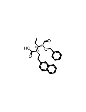 CC[C@H]([C@@H](CCc1ccc2ccccc2c1)C(=O)O)N(C=O)OCc1ccccc1